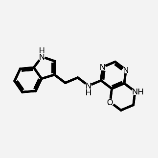 c1ccc2c(CCNc3ncnc4c3OCCN4)c[nH]c2c1